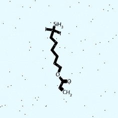 C=CC(=O)OCCCCCCC([SiH3])(I)I